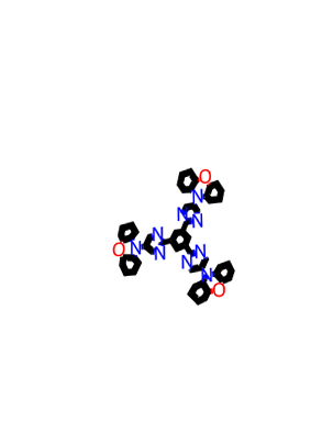 c1ccc2c(c1)Oc1ccccc1N2c1cnc(-c2cc(-c3ncc(N4c5ccccc5Oc5ccccc54)cn3)cc(-c3ncc(N4c5ccccc5Oc5ccccc54)cn3)c2)nc1